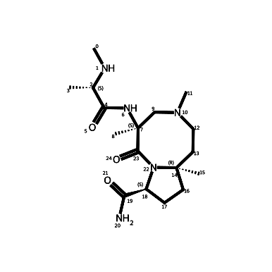 CN[C@@H](C)C(=O)N[C@@]1(C)CN(C)CC[C@@]2(C)CC[C@@H](C(N)=O)N2C1=O